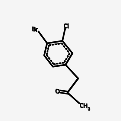 CC(=O)Cc1ccc(Br)c(Cl)c1